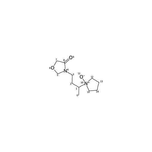 CC(CCN1COCC1=O)[N+]1([O-])CCCC1